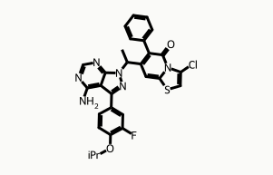 CC(C)Oc1ccc(-c2nn(C(C)c3cc4scc(Cl)n4c(=O)c3-c3ccccc3)c3ncnc(N)c23)cc1F